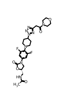 CC(=O)NC[C@H]1CN(c2cc(F)c(N3CCC(n4nnc(CC(=O)N5CCOCC5)n4)CC3)c(F)c2)C(=O)O1